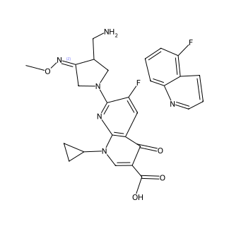 CO/N=C1\CN(c2nc3c(cc2F)c(=O)c(C(=O)O)cn3C2CC2)CC1CN.Fc1cccc2ncccc12